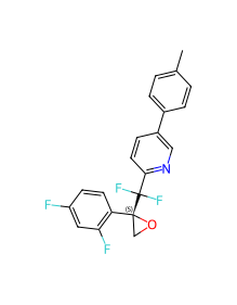 Cc1ccc(-c2ccc(C(F)(F)[C@]3(c4ccc(F)cc4F)CO3)nc2)cc1